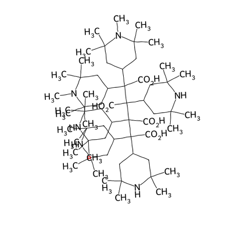 CN1C(C)(C)CC(C(C(=O)O)(C2CC(C)(C)N(C)C(C)(C)C2)C(C(=O)O)(C2CC(C)(C)NC(C)(C)C2)C(C(=O)O)(C2CC(C)(C)NC(C)(C)C2)C(C(=O)O)(C2CC(C)(C)NC(C)(C)C2)C2CC(C)(C)NC(C)(C)C2)CC1(C)C